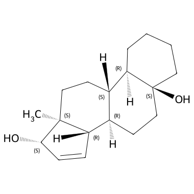 C[C@]12CC[C@H]3[C@@H](CC[C@@]4(O)CCCC[C@H]34)[C@@H]1C=C[C@@H]2O